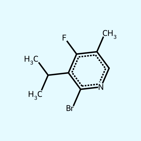 Cc1cnc(Br)c(C(C)C)c1F